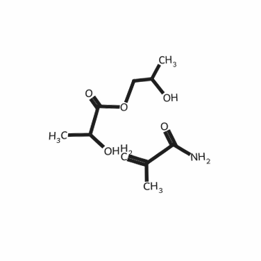 C=C(C)C(N)=O.CC(O)COC(=O)C(C)O